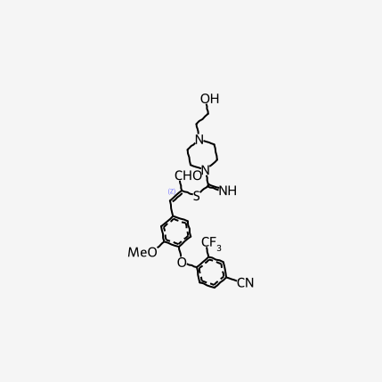 COc1cc(/C=C(/C=O)SC(=N)N2CCN(CCO)CC2)ccc1Oc1ccc(C#N)cc1C(F)(F)F